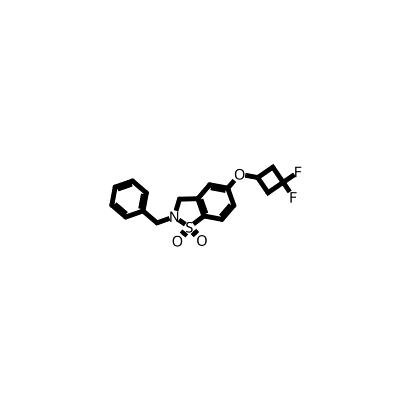 O=S1(=O)c2ccc(OC3CC(F)(F)C3)cc2CN1Cc1ccccc1